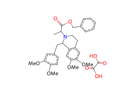 COc1ccc(CC2c3cc(OC)c(OC)cc3CCN2C(C)C(=O)OCc2ccccc2)cc1OC.O=C(O)C(=O)O